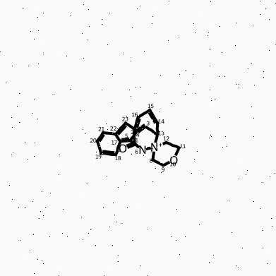 O=c1c2c3c4c(n1[N+]1(CCOCC1)C3C=CC=2)=c1ccccc1=C4